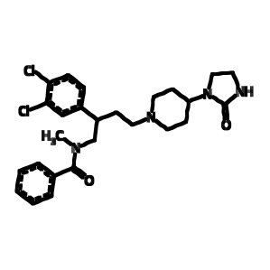 CN(CC(CCN1CCC(N2CCNC2=O)CC1)c1ccc(Cl)c(Cl)c1)C(=O)c1ccccc1